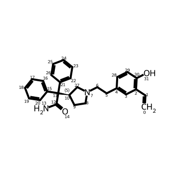 C=Cc1cc(CCN2CC[C@@H](C(C(N)=O)(c3ccccc3)c3ccccc3)C2)ccc1O